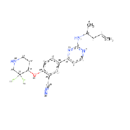 C=CCC(C)Nc1nccc(-c2ccc(OC3CCNCC3(F)F)c(C#N)c2)n1